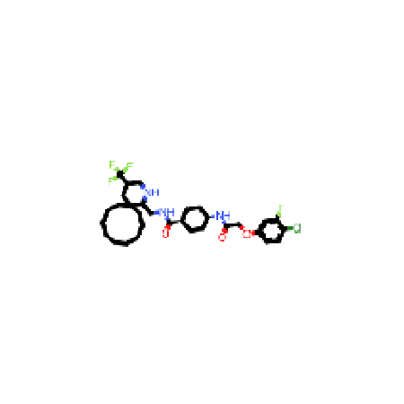 O=C(COc1ccc(Cl)c(F)c1)N[C@H]1CC[C@H](C(=O)NCC2NCC(C(F)(F)F)CC23CCCCCCCCC3)CC1